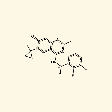 Cc1nc(N[C@H](C)c2cccc(C)c2F)c2cn(C3(C)CC3)c(=O)cc2n1